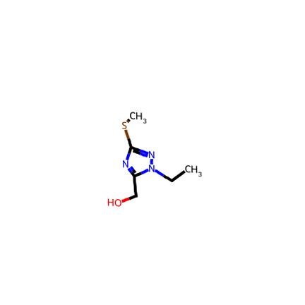 CCn1nc(SC)nc1CO